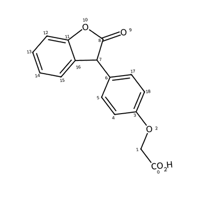 O=C(O)COc1ccc(C2C(=O)Oc3ccccc32)cc1